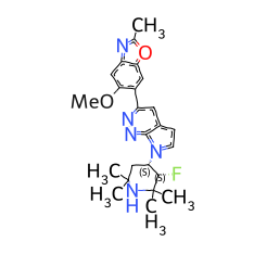 COc1cc2nc(C)oc2cc1-c1cc2ccn([C@H]3CC(C)(C)NC(C)(C)[C@H]3F)c2nn1